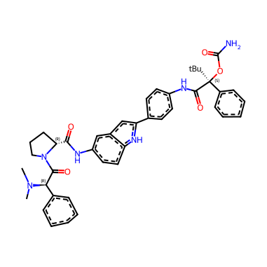 CN(C)[C@@H](C(=O)N1CCC[C@@H]1C(=O)Nc1ccc2[nH]c(-c3ccc(NC(=O)[C@@](OC(N)=O)(c4ccccc4)C(C)(C)C)cc3)cc2c1)c1ccccc1